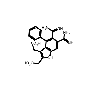 N=C(N)c1cc2[nH]c(CC(=O)O)c(CC(=O)O)c2c(-c2ccccc2)c1C(=N)N